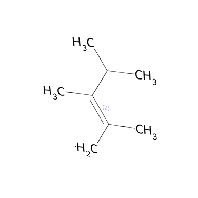 [CH2]/C(C)=C(\C)C(C)C